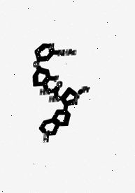 CC(=O)Nc1cc(Oc2ccc(NC(=O)Nc3cn(C(C)C)nc3-c3ccc4c(c3)CCNC4)c(F)c2)ccn1